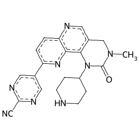 CN1Cc2cnc3ccc(-c4cnc(C#N)nc4)nc3c2N(C2CCNCC2)C1=O